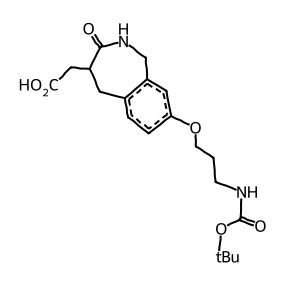 CC(C)(C)OC(=O)NCCCOc1ccc2c(c1)CNC(=O)C(CC(=O)O)C2